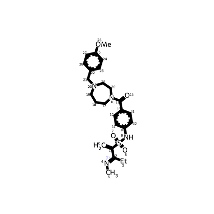 C=C(/C(CC)=N/C)S(=O)(=O)Nc1ccc(C(=O)N2CCCN(Cc3ccc(OC)cc3)CC2)cc1